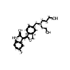 O=C1Nc2ccc(F)cc2C1=C1OCc2cc(CN(CCO)CCCO)ccc21